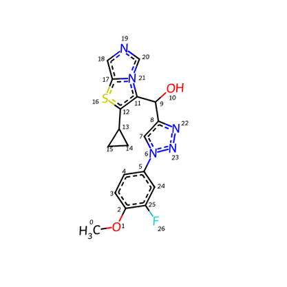 COc1ccc(-n2cc(C(O)c3c(C4CC4)sc4cncn34)nn2)cc1F